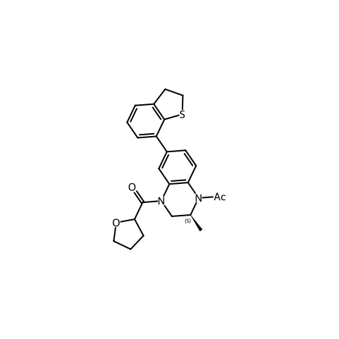 CC(=O)N1c2ccc(-c3cccc4c3SCC4)cc2N(C(=O)C2CCCO2)C[C@@H]1C